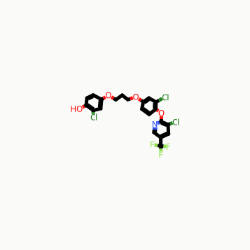 Oc1ccc(OCCCOc2ccc(Oc3ncc(C(F)(F)F)cc3Cl)c(Cl)c2)cc1Cl